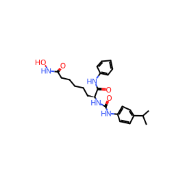 CC(C)c1ccc(NC(=O)N[C@@H](CCCCCC(=O)NO)C(=O)Nc2ccccc2)cc1